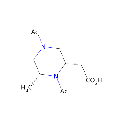 CC(=O)N1C[C@H](CC(=O)O)N(C(C)=O)[C@H](C)C1